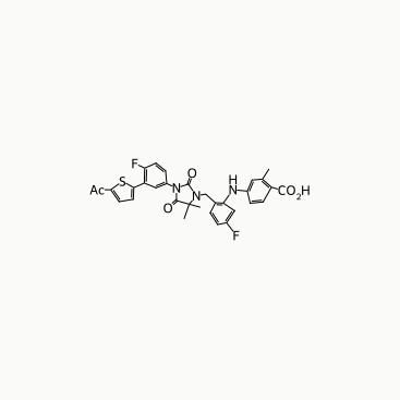 CC(=O)c1ccc(-c2cc(N3C(=O)N(Cc4ccc(F)cc4Nc4ccc(C(=O)O)c(C)c4)C(C)(C)C3=O)ccc2F)s1